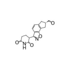 O=C[C@@H]1Cc2ccc3c(C4CCC(=O)NC4=O)noc3c2C1